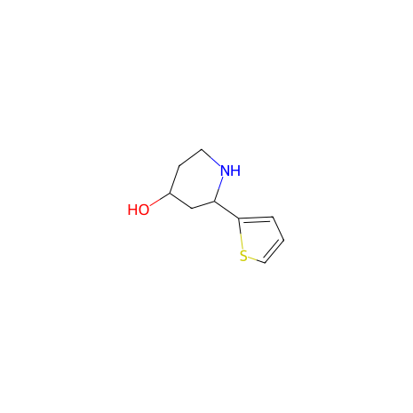 OC1CCNC(c2cccs2)C1